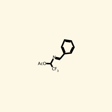 CC(=O)OC(N=Cc1ccccc1)C(F)(F)F